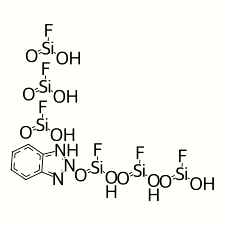 O=[Si](O)F.O=[Si](O)F.O=[Si](O)F.O=[Si](O)F.O=[Si](O)F.O=[Si](O)F.c1ccc2[nH]nnc2c1